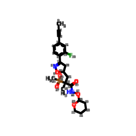 CC#Cc1ccc(C2=NOC(C[C@](C)(C(=O)NOC3CCCCO3)S(C)(=O)=O)C2)c(F)c1